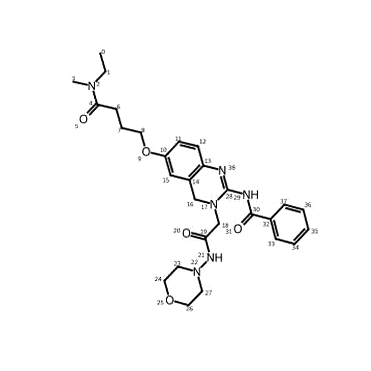 CCN(C)C(=O)CCCOc1ccc2c(c1)CN(CC(=O)NN1CCOCC1)C(NC(=O)c1ccccc1)=N2